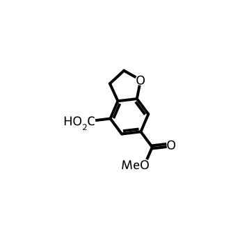 COC(=O)c1cc2c(c(C(=O)O)c1)CCO2